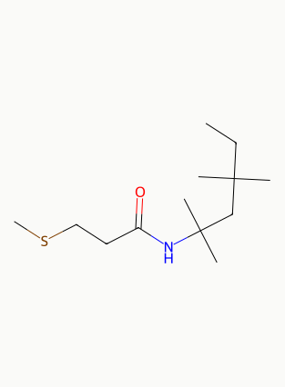 CCC(C)(C)CC(C)(C)NC(=O)CCSC